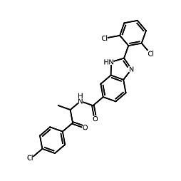 CC(NC(=O)c1ccc2nc(-c3c(Cl)cccc3Cl)[nH]c2c1)C(=O)c1ccc(Cl)cc1